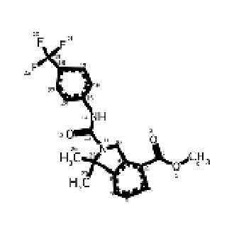 COC(=O)c1cccc2c1CN(C(=O)Nc1ccc(C(F)(F)F)cc1)C2(C)C